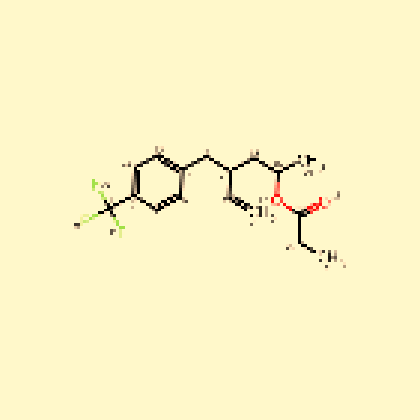 C=CC(Cc1ccc(C(F)(F)F)cc1)CC(C)OC(=O)CC